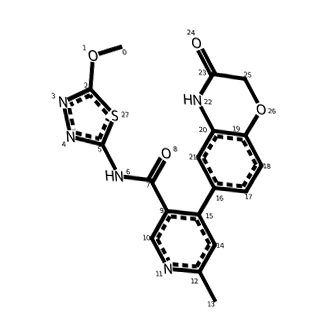 COc1nnc(NC(=O)c2cnc(C)cc2-c2ccc3c(c2)NC(=O)CO3)s1